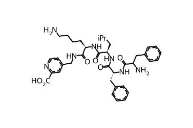 CC(C)C[C@@H](NC(=O)[C@@H](Cc1ccccc1)NC(=O)C(N)Cc1ccccc1)C(=O)N[C@H](CCCCN)C(=O)NCc1ccnc(C(=O)O)c1